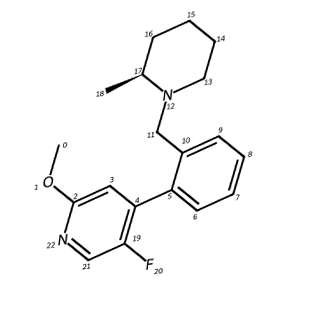 COc1cc(-c2ccccc2CN2CCCC[C@@H]2C)c(F)cn1